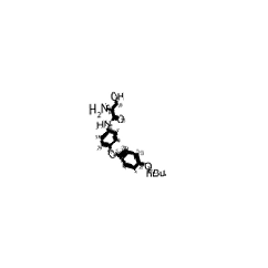 CCCCOc1ccc(Oc2ccc(NC(=O)[C@@H](N)CO)cc2)cc1